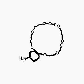 Nc1ccc2c(c1)OCCOCCOCCOCCOCCOCCO2